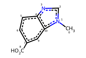 Cn1cnc2ccc(C(=O)O)cc21